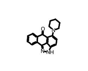 O=C1c2ccccc2-c2n[nH]c3ccc(N4CCCCC4)c1c23